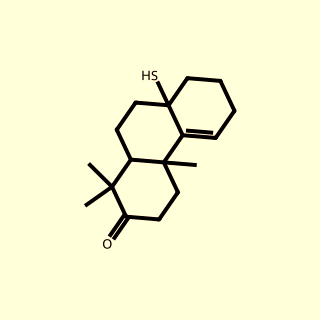 CC1(C)C(=O)CCC2(C)C3=CCCCC3(S)CCC12